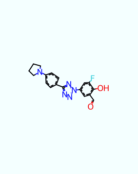 O=Cc1cc(-n2nnc(-c3ccc(N4CCCC4)cc3)n2)cc(F)c1O